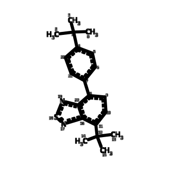 CC(C)(C)c1ccc(-c2ccc(C(C)(C)C)c3nsnc23)cc1